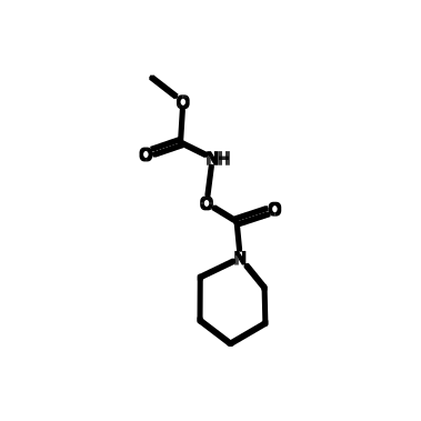 COC(=O)NOC(=O)N1CCCCC1